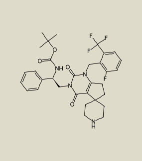 CC(C)(C)OC(=O)N[C@@H](Cn1c(=O)c2c(n(Cc3c(F)cccc3C(F)(F)F)c1=O)CCC21CCNCC1)c1ccccc1